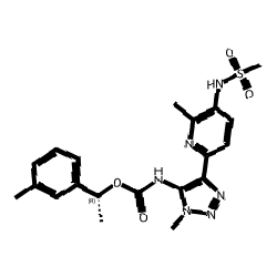 Cc1cccc([C@@H](C)OC(=O)Nc2c(-c3ccc(NS(C)(=O)=O)c(C)n3)nnn2C)c1